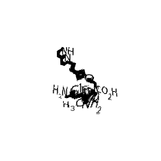 C[C@@](N)(C(=O)N[C@@H](CCOC1CC(CCc2ccc3c(n2)NCCC3)C1)C(=O)O)C(F)CC(Cl)CN